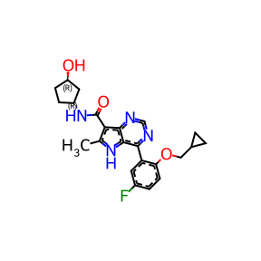 Cc1[nH]c2c(-c3cc(F)ccc3OCC3CC3)ncnc2c1C(=O)N[C@@H]1CC[C@@H](O)C1